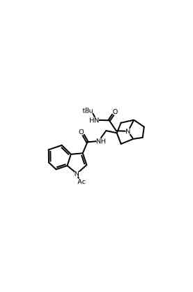 CC(=O)n1cc(C(=O)NCC2CC3CCC(C2)N3CC(=O)NC(C)(C)C)c2ccccc21